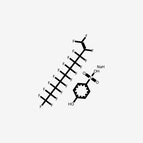 FC(F)=C(F)C(F)(F)C(F)(F)C(F)(F)C(F)(F)C(F)(F)C(F)(F)C(F)(F)C(F)(F)F.O=S(=O)(O)c1ccc(O)cc1.[NaH]